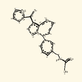 O=C(O)NCc1cccc(-c2ccnc3c(C(=O)c4ccco4)cnn23)c1